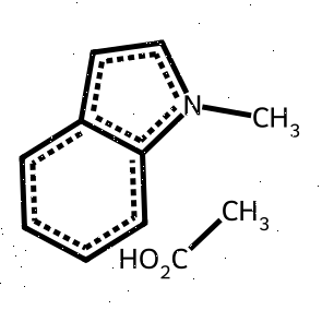 CC(=O)O.Cn1ccc2ccccc21